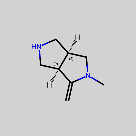 C=C1[C@H]2CNC[C@H]2CN1C